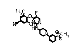 Cc1cc(C#N)cc(C)c1Oc1nc(NC2CCN(c3cccc(S(C)(=O)=O)c3)CC2)ncc1F